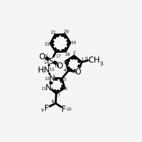 Cc1ccc(-c2cc(C(F)F)nn2NS(=O)(=O)c2ccccc2)o1